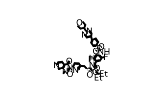 CCC(CC)OC(=O)[C@H](CCc1ccc(-n2c(=O)c3ccncc3n(C)c2=O)nc1)NC(=O)c1cc(F)c(NS(=O)(=O)c2ccc(-c3cnc(C4CCOCC4)nc3)cc2)cc1F